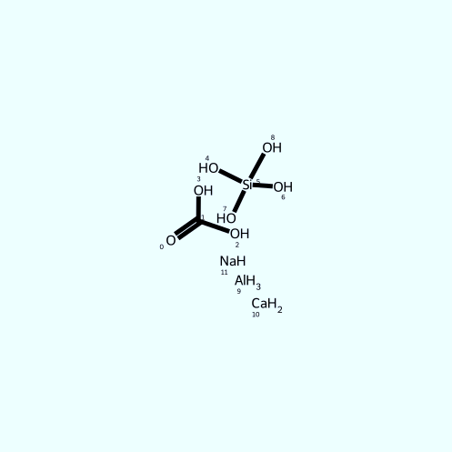 O=C(O)O.O[Si](O)(O)O.[AlH3].[CaH2].[NaH]